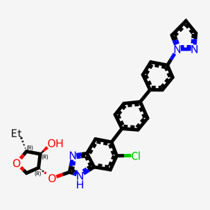 CC[C@H]1OC[C@@H](Oc2nc3cc(-c4ccc(-c5ccc(-n6cccn6)cc5)cc4)c(Cl)cc3[nH]2)[C@@H]1O